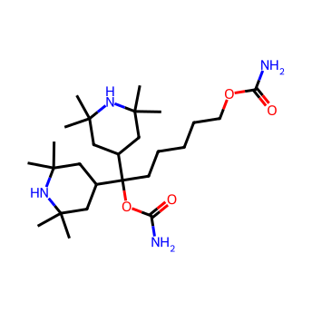 CC1(C)CC(C(CCCCCOC(N)=O)(OC(N)=O)C2CC(C)(C)NC(C)(C)C2)CC(C)(C)N1